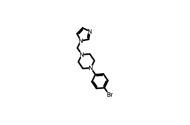 Brc1ccc(N2CCN(Cn3ccnc3)CC2)cc1